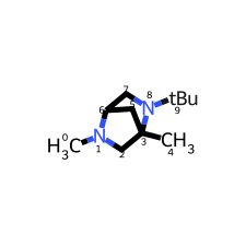 CN1CC2(C)CC1CN2C(C)(C)C